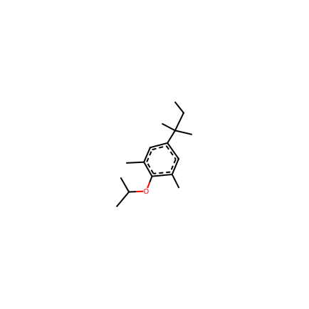 CCC(C)(C)c1cc(C)c(OC(C)C)c(C)c1